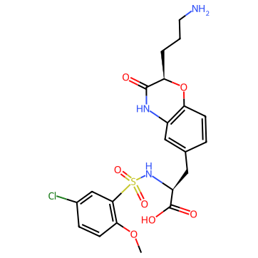 COc1ccc(Cl)cc1S(=O)(=O)N[C@@H](Cc1ccc2c(c1)NC(=O)[C@@H](CCCN)O2)C(=O)O